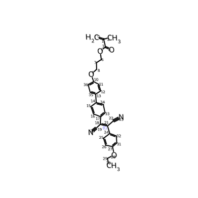 C=C(C)C(=O)OCCCOc1ccc(-c2ccc(/C(C#N)=C(\C#N)c3ccc(OCC)cc3)cc2)cc1